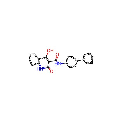 O=C(Nc1ccc(-c2ccccc2)cc1)c1c(O)c2ccccc2[nH]c1=O